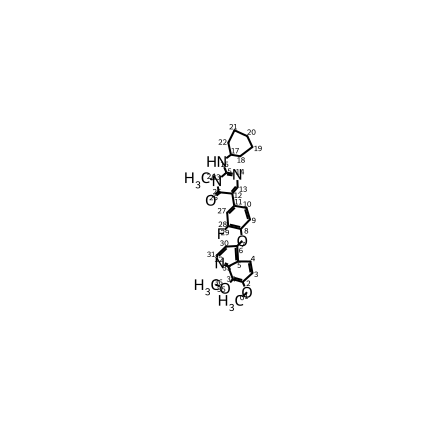 COc1ccc2c(Oc3ccc(-c4cnc(NC5CCCCC5)n(C)c4=O)cc3F)ccnc2c1OC